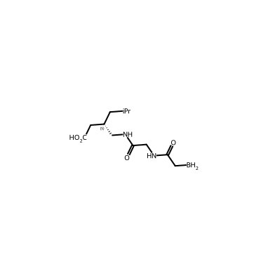 BCC(=O)NCC(=O)NC[C@H](CC(=O)O)CC(C)C